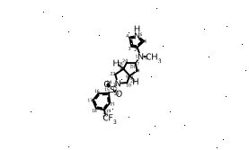 CN(c1cc[nH]c1)[C@H]1C[C@@H]2CN(S(=O)(=O)c3cccc(C(F)(F)F)c3)C[C@@H]2C1